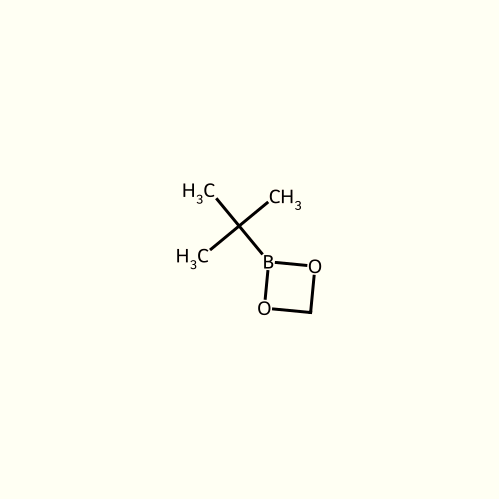 CC(C)(C)B1OCO1